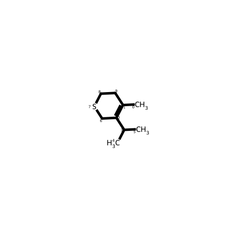 CC1=C(C(C)C)CSCC1